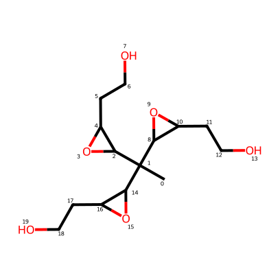 CC(C1OC1CCO)(C1OC1CCO)C1OC1CCO